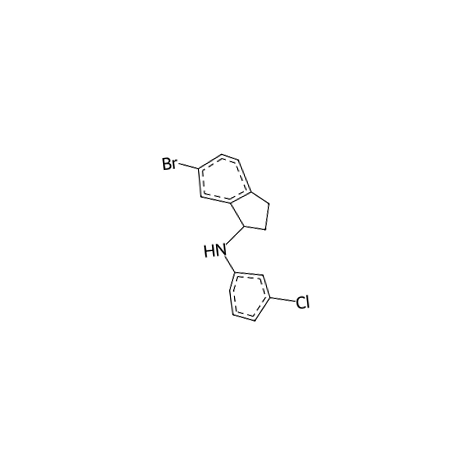 Clc1cccc(NC2CCc3ccc(Br)cc32)c1